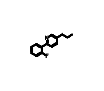 CC[CH]c1ccc(-c2ccccc2F)nc1